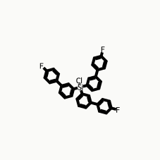 Fc1ccc(-c2cccc([Si](Cl)(c3cccc(-c4ccc(F)cc4)c3)c3cccc(-c4ccc(F)cc4)c3)c2)cc1